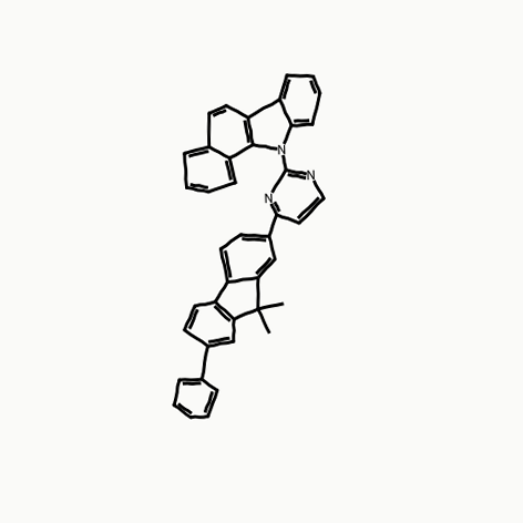 CC1(C)c2cc(-c3ccccc3)ccc2-c2ccc(-c3ccnc(-n4c5ccccc5c5ccc6ccccc6c54)n3)cc21